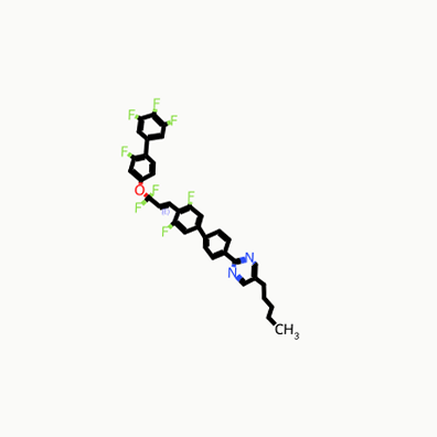 CCCCCc1cnc(-c2ccc(-c3cc(F)c(/C=C/C(F)(F)Oc4ccc(-c5cc(F)c(F)c(F)c5)c(F)c4)c(F)c3)cc2)nc1